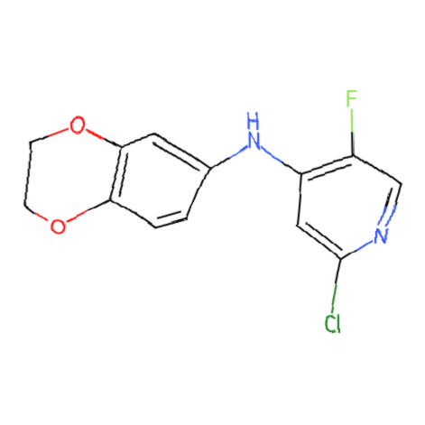 Fc1cnc(Cl)cc1Nc1ccc2c(c1)OCCO2